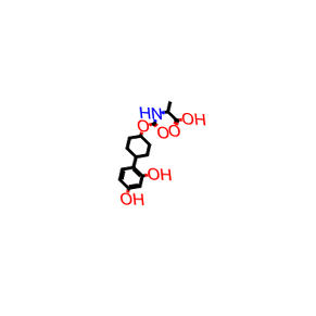 CC(NC(=O)OC1CCC(c2ccc(O)cc2O)CC1)C(=O)O